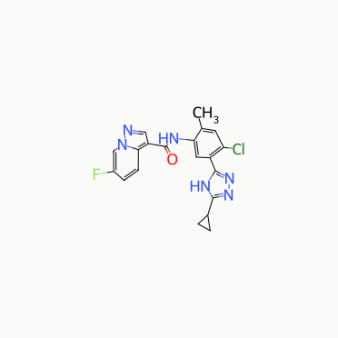 Cc1cc(Cl)c(-c2nnc(C3CC3)[nH]2)cc1NC(=O)c1cnn2cc(F)ccc12